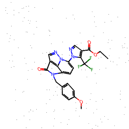 CCOC(=O)c1cnn(-c2ccc3c4c(cnn24)c(=O)n3Cc2ccc(OC)cc2)c1C(F)(F)F